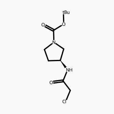 CC(C)(C)OC(=O)N1CC[C@H](NC(=O)CCl)C1